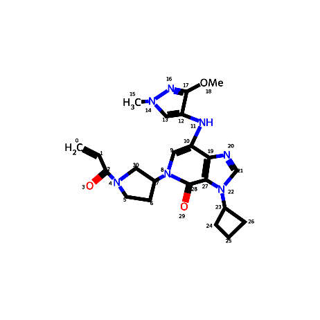 C=CC(=O)N1CCC(n2cc(Nc3cn(C)nc3OC)c3ncn(C4CCC4)c3c2=O)C1